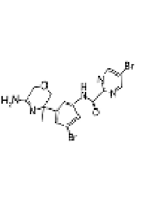 CC1(c2cc(Br)cc(NC(=O)c3ncc(Br)cn3)c2)COCC(N)=N1